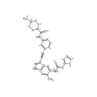 Cc1cc2[nH]nc(C#Cc3cccc(NC(=O)N4CCN(C)CC4)c3)c2cc1NC(=O)Cc1cccs1